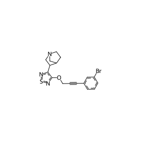 Brc1cccc(C#CCOc2nsnc2C2CN3CCC2C3)c1